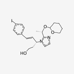 C[C@H](OC1CCCCO1)c1nccn1[C@@H](/C=C/c1ccc(I)cc1)CCO